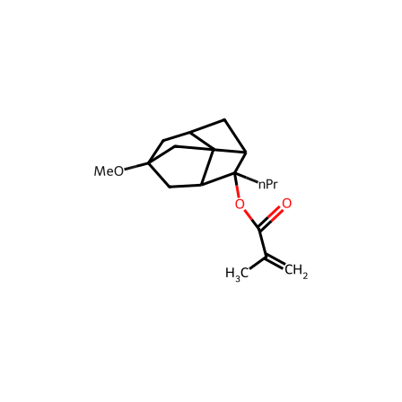 C=C(C)C(=O)OC1(CCC)C2CC3CC1CC(OC)(C3)C2